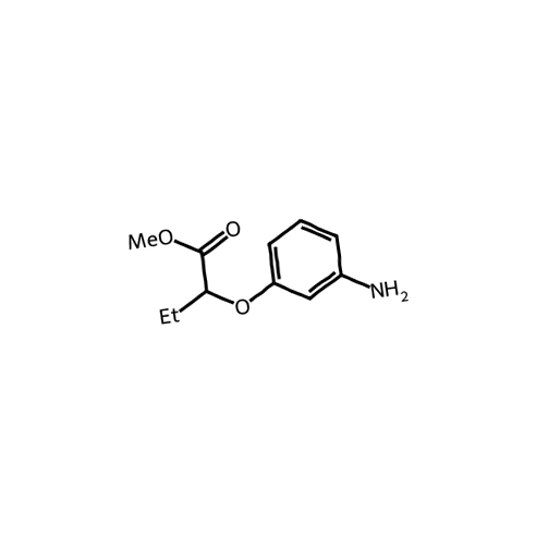 CCC(Oc1cccc(N)c1)C(=O)OC